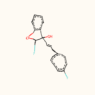 OC1(C=Cc2ccc(F)cc2)c2ccccc2OC1F